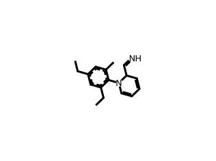 CCc1cc(C)c(N2C=CC=CC2C=N)c(CC)c1